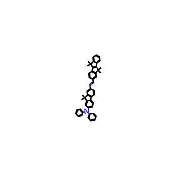 CC1(C)C2=C(c3ccccc31)C(C)(C)c1cc(/C=C/c3ccc4c(c3)C(C)(C)c3cc(N(c5ccccc5)c5ccccc5)ccc3-4)ccc12